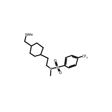 CNCC1CCC(CCN(C)S(=O)(=O)c2ccc(C(F)(F)F)cc2)CC1